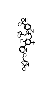 O=C(O)c1ccc2nc(Cc3cc(F)c(-c4cccc(OCc5cnc(Cl)s5)n4)cc3F)n(CC3CCO3)c2c1